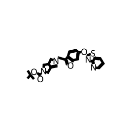 CC(C)(C)OC(=O)N1CC2=CN(Cc3coc4cc(Oc5nc6ncccc6s5)ccc34)CC2C1